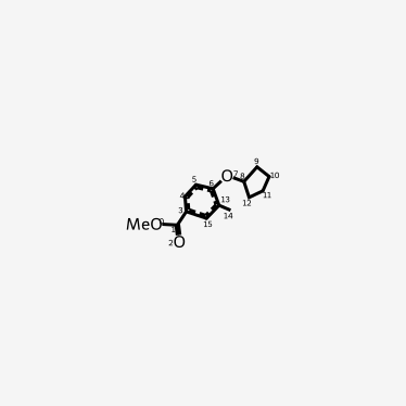 COC(=O)c1ccc(OC2CCCC2)c(C)c1